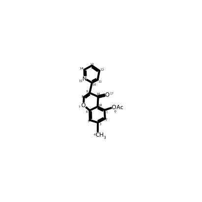 CC(=O)Oc1cc(C)cc2occ(-c3ccccn3)c(=O)c12